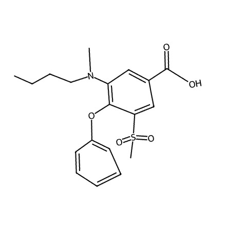 CCCCN(C)c1cc(C(=O)O)cc(S(C)(=O)=O)c1Oc1ccccc1